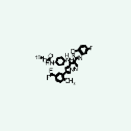 Cc1ccc(C(F)F)cc1-c1cc2c(N[C@H]3CC[C@H](NC(=O)OC(C)(C)C)CC3)c(/C(N)=N/c3cc(F)ccc3Cl)cnn2c1